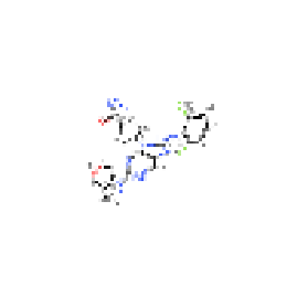 C[C@H]1COCC[C@H]1Nc1ncc2nc(Nc3c(F)cccc3F)n(C3CCC(C(N)=O)CC3)c2n1